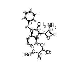 CCC(Oc1nccc2c1c(C1OC=C1N)c(C)n2Cc1ccccc1)C(=O)OC(C)(C)C